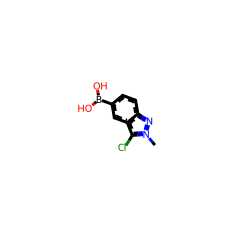 Cn1nc2ccc(B(O)O)cc2c1Cl